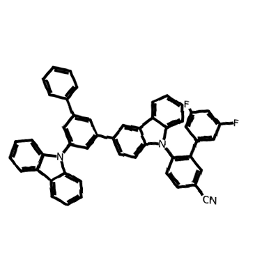 N#Cc1ccc(-n2c3ccccc3c3cc(-c4cc(-c5ccccc5)cc(-n5c6ccccc6c6ccccc65)c4)ccc32)c(-c2cc(F)cc(F)c2)c1